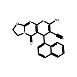 N#CC1=C(N)Oc2nc3n(c(=O)c2C1c1cccc2ccccc12)CCS3